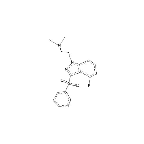 CN(C)CCn1nc(S(=O)(=O)c2ccccc2)c2c(F)cccc21